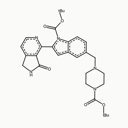 CC(C)(C)OC(=O)N1CCN(Cc2ccc3c(c2)cc(-c2nccc4c2C(=O)NC4)n3C(=O)OC(C)(C)C)CC1